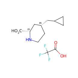 O=C(O)C(F)(F)F.O=C(O)[C@@H]1C[C@H](CC2CC2)CCN1